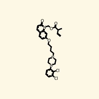 C=CC(C)C(=O)OCn1c(=O)ccc2ccc(OCCCCN3CCN(c4cccc(Cl)c4Cl)CC3)cc21